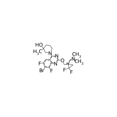 CN(C)C[C@@]1(COc2nc(N3CCCC(C)(O)C3)c3cc(F)c(Br)c(F)c3n2)CC1(F)F